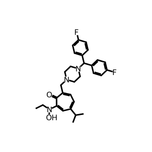 CCN(O)c1cc(C(C)C)ccc(CN2CCN(C(c3ccc(F)cc3)c3ccc(F)cc3)CC2)c1=O